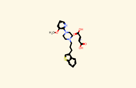 COc1cccnc1N1CCN(CCCc2csc3ccccc23)CC1.O=C(O)/C=C/C(=O)O